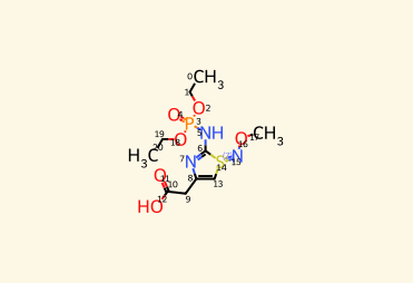 CCOP(=O)(NC1=NC(CC(=O)O)=C/S1=N/OC)OCC